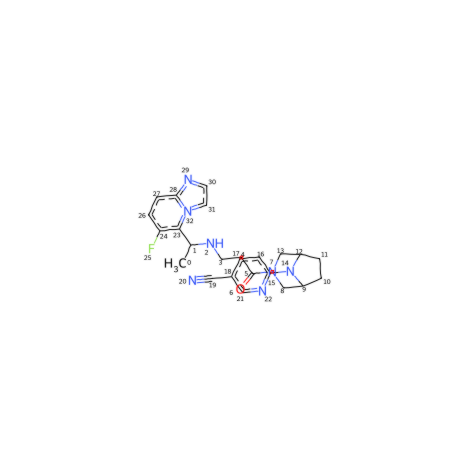 CC(NCCC(=O)N1CC2CCC(C1)N2c1ccc(C#N)cn1)c1c(F)ccc2nccn12